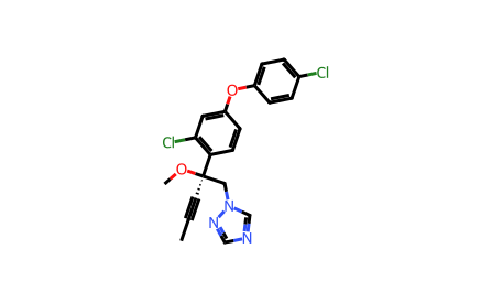 CC#C[C@](Cn1cncn1)(OC)c1ccc(Oc2ccc(Cl)cc2)cc1Cl